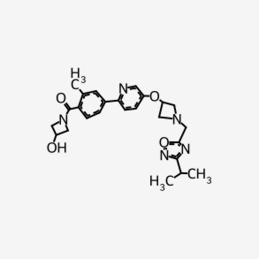 Cc1cc(-c2ccc(OC3CN(Cc4nc(C(C)C)no4)C3)cn2)ccc1C(=O)N1CC(O)C1